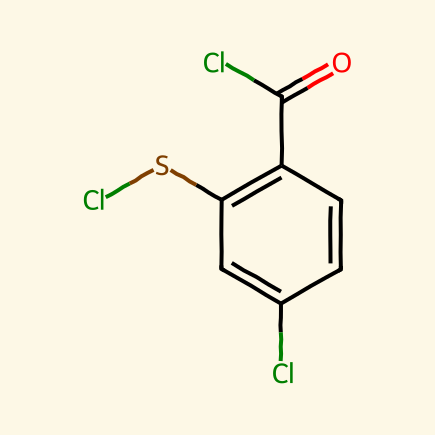 O=C(Cl)c1ccc(Cl)cc1SCl